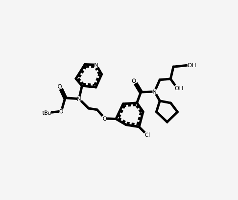 CC(C)(C)OC(=O)N(CCOc1cc(Cl)cc(C(=O)N(CC(O)CO)C2CCCC2)c1)c1ccncc1